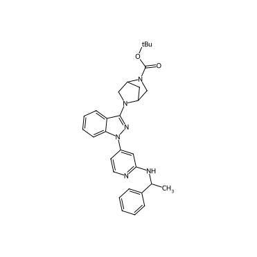 CC(Nc1cc(-n2nc(N3CC4CC3CN4C(=O)OC(C)(C)C)c3ccccc32)ccn1)c1ccccc1